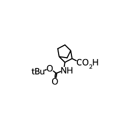 CC(C)(C)OC(=O)NC1C2CCC(C2)C1C(=O)O